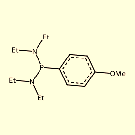 CCN(CC)P(c1ccc(OC)cc1)N(CC)CC